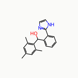 Cc1cc(C)c(C(O)c2ccccc2-c2ncc[nH]2)c(C)c1